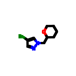 Brc1cnn(CC2CCCCO2)c1